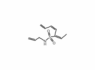 C=C/C=C\C(=C/C)S(=O)(=O)NCC=C